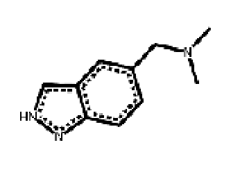 CN(C)Cc1ccc2n[nH]cc2c1